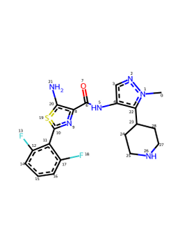 Cn1ncc(NC(=O)c2nc(-c3c(F)cccc3F)sc2N)c1C1CCNCC1